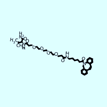 CC(C)[C@H](NC(=O)CCOCCOCCOCCOCCC(=O)NCCCCCC(=O)N1Cc2ccccc2C#Cc2ccccc21)C(N)=O